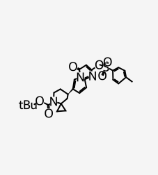 Cc1ccc(S(=O)(=O)Oc2cc(=O)n3cc([C@@H]4CCN(C(=O)OC(C)(C)C)C5(CC5)C4)ccc3n2)cc1